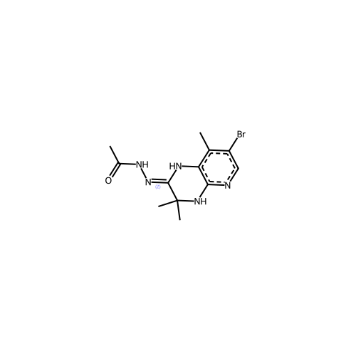 CC(=O)N/N=C1\Nc2c(ncc(Br)c2C)NC1(C)C